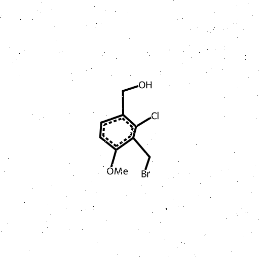 COc1ccc(CO)c(Cl)c1CBr